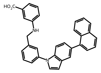 O=C(O)c1cccc(NCc2cccc(-n3ccc4cc(-c5cccc6ccccc56)ccc43)c2)c1